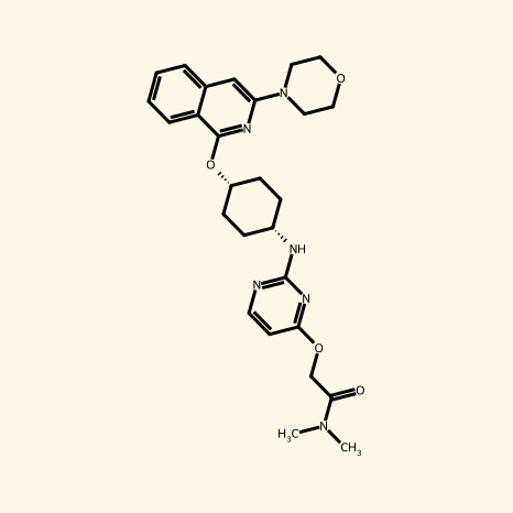 CN(C)C(=O)COc1ccnc(N[C@H]2CC[C@@H](Oc3nc(N4CCOCC4)cc4ccccc34)CC2)n1